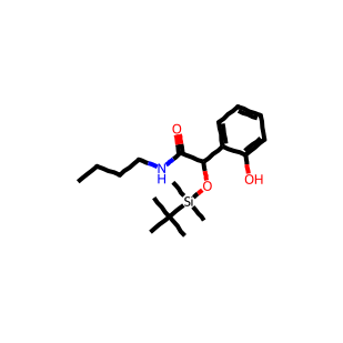 CCCCNC(=O)C(O[Si](C)(C)C(C)(C)C)c1ccccc1O